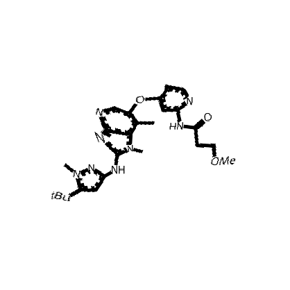 COCCC(=O)Nc1cc(Oc2cnc3nc(Nc4cc(C(C)(C)C)n(C)n4)n(C)c3c2C)ccn1